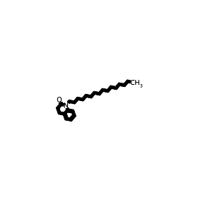 CCCCCCCCCCCCCCCCN1C(=O)CCc2ccccc21